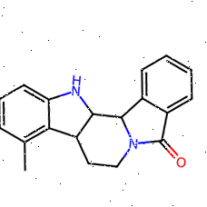 Cc1cccc2c1C1CCN3C(=O)c4ccccc4C3C1N2